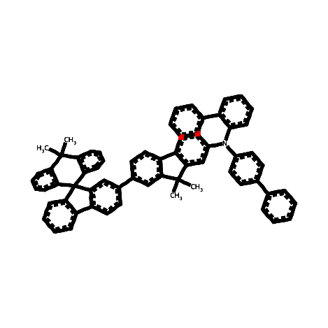 CC1(C)c2cc(-c3ccc4c(c3)C3(c5ccccc5-4)c4ccccc4C(C)(C)c4ccccc43)ccc2-c2ccc(N(c3ccc(-c4ccccc4)cc3)c3ccccc3-c3ccccc3)cc21